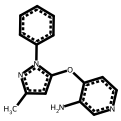 Cc1cc(Oc2ccncc2N)n(-c2ccccc2)n1